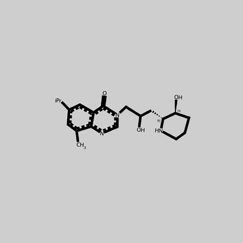 Cc1cc(C(C)C)cc2c(=O)n(CC(O)C[C@H]3NCCC[C@@H]3O)cnc12